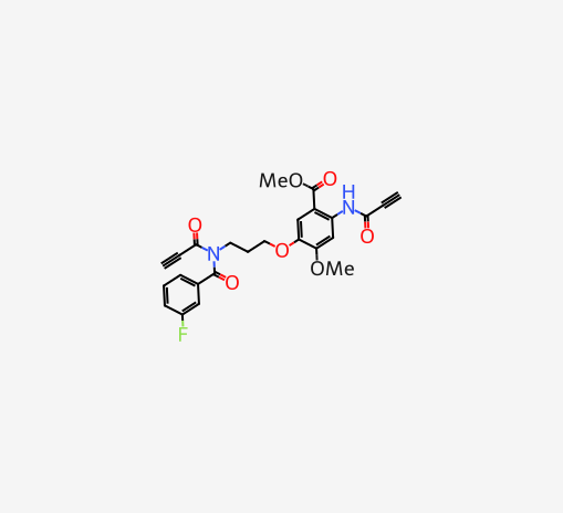 C#CC(=O)Nc1cc(OC)c(OCCCN(C(=O)C#C)C(=O)c2cccc(F)c2)cc1C(=O)OC